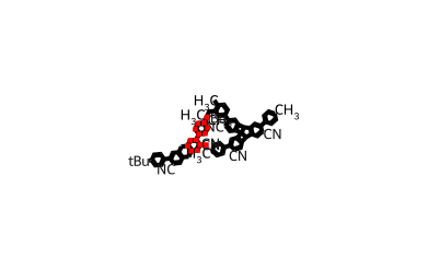 Cc1ccc(-c2cc3c(cc2C#N)C2c4cc(C#N)c(-c5ccc(C)cc5)cc4C24c2cc(C#N)c(-c5ccc(C)c(CC(C)(C)c6ccc(-c7cc8c(cc7C#N)C7c9cc(C#N)c(-c%10ccc(C(C)(C)C)cc%10)cc9C8c8cc(-c9ccc(C(C)(C)C)cc9)c(C#N)cc87)cc6)c5)cc2C34)cc1